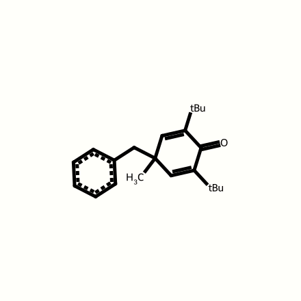 CC1(Cc2ccccc2)C=C(C(C)(C)C)C(=O)C(C(C)(C)C)=C1